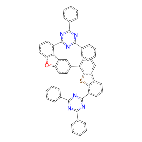 c1ccc(-c2nc(-c3ccccc3)nc(-c3cccc4c3sc3c(-c5ccc6oc7cccc(-c8nc(-c9ccccc9)nc(-c9ccccc9)n8)c7c6c5)cccc34)n2)cc1